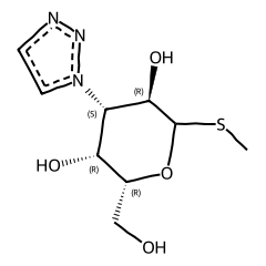 CSC1O[C@H](CO)[C@H](O)[C@H](n2ccnn2)[C@H]1O